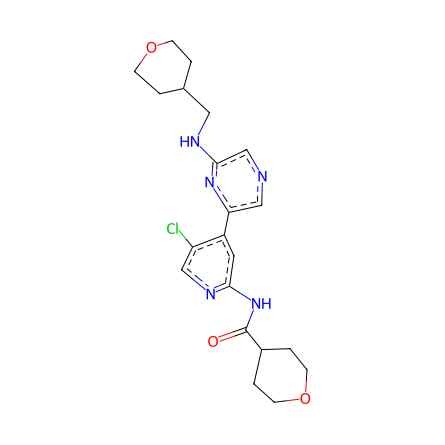 O=C(Nc1cc(-c2cncc(NCC3CCOCC3)n2)c(Cl)cn1)C1CCOCC1